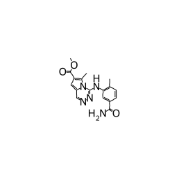 COC(=O)c1cc2cnnc(Nc3cc(C(N)=O)ccc3C)n2c1C